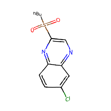 CCCCS(=O)(=O)c1cnc2cc(Cl)ccc2n1